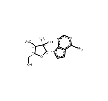 CC(=O)O[C@@H]1[C@@H](CO)O[C@@H](n2ccc3c(N)ncnc32)[C@]1(C)O